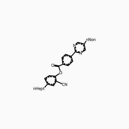 CCCCCCCCCc1cnc(-c2ccc(C(=O)Oc3ccc(CCCCCCC)cc3C#N)cc2)nc1